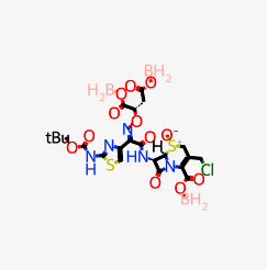 BOC(=O)C[C@H](O/N=C(\C(=O)N[C@@H]1C(=O)N2C(C(=O)OB)=C(CCl)C[S+]([O-])[C@H]12)c1csc(NC(=O)OC(C)(C)C)n1)C(=O)OB